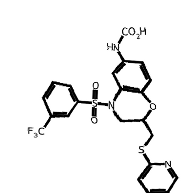 O=C(O)Nc1ccc2c(c1)N(S(=O)(=O)c1cccc(C(F)(F)F)c1)CC(CSc1ccccn1)O2